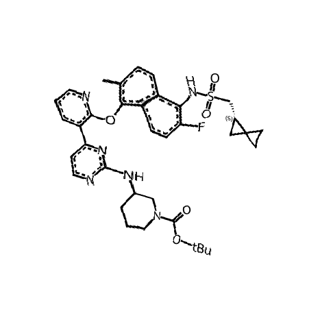 Cc1ccc2c(NS(=O)(=O)C[C@H]3CC34CC4)c(F)ccc2c1Oc1ncccc1-c1ccnc(NC2CCCN(C(=O)OC(C)(C)C)C2)n1